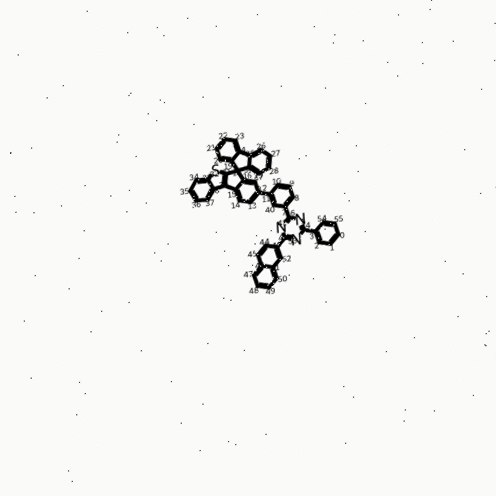 c1ccc(-c2nc(-c3cccc(-c4ccc5c(c4)C4(c6ccccc6-c6ccccc64)c4sc6ccccc6c4-5)c3)nc(-c3ccc4ccccc4c3)n2)cc1